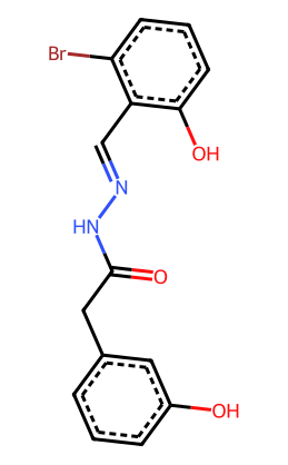 O=C(Cc1cccc(O)c1)N/N=C/c1c(O)cccc1Br